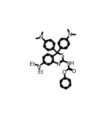 CCN(CC)c1ccc2c(c1)N=C(NC(=O)Oc1ccccc1)SC2(c1ccc(N(C)C)cc1)c1ccc(N(C)C)cc1